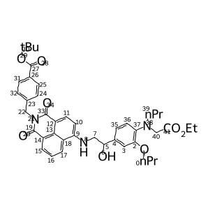 CCCOc1cc(C(O)CNc2ccc3c4c(cccc24)C(=O)N(Cc2ccc(C(=O)OC(C)(C)C)cc2)C3=O)ccc1N(CCC)CC(=O)OCC